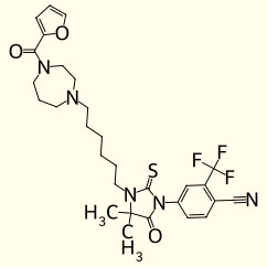 CC1(C)C(=O)N(c2ccc(C#N)c(C(F)(F)F)c2)C(=S)N1CCCCCCN1CCCN(C(=O)c2ccco2)CC1